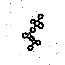 c1ccc(-c2c3ccccc3c(-c3ccc(-n4c5ccccc5c5cc6c(cc54)c4ccccc4n6-c4ccccc4)cc3)c3ccccc23)cc1